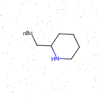 CCCCCC1CCCCN1